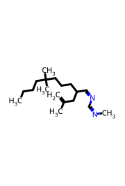 C=C(C)CC(/C=N\C=N/C)CCCC(C)(C)CCCC